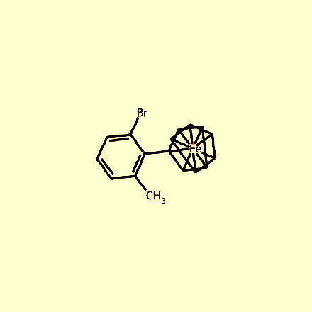 Cc1cccc(Br)c1[C]12[CH]3[CH]4[CH]5[CH]1[Fe]45321678[CH]2[CH]1[CH]6[CH]7[CH]28